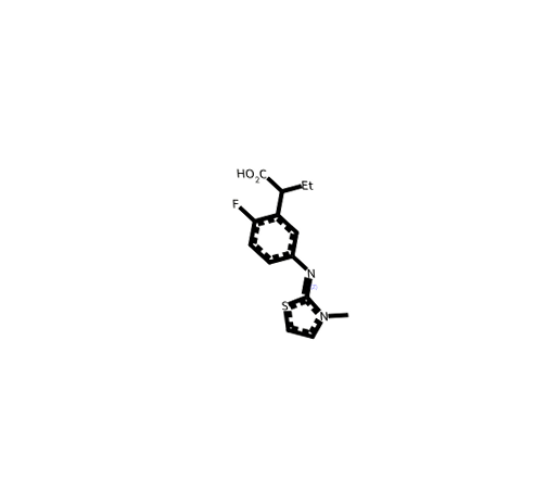 CCC(C(=O)O)c1cc(/N=c2\sccn2C)ccc1F